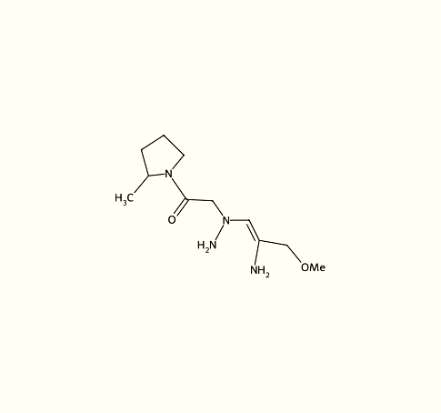 COC/C(N)=C/N(N)CC(=O)N1CCCC1C